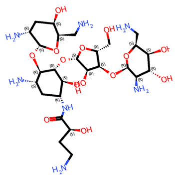 NCC[C@H](O)C(=O)N[C@@H]1C[C@H](N)[C@@H](O[C@H]2O[C@H](CN)[C@H](O)C[C@H]2N)[C@H](O[C@@H]2O[C@H](CO)[C@@H](O[C@H]3O[C@@H](CN)[C@@H](O)[C@H](O)[C@H]3N)[C@H]2O)[C@H]1O